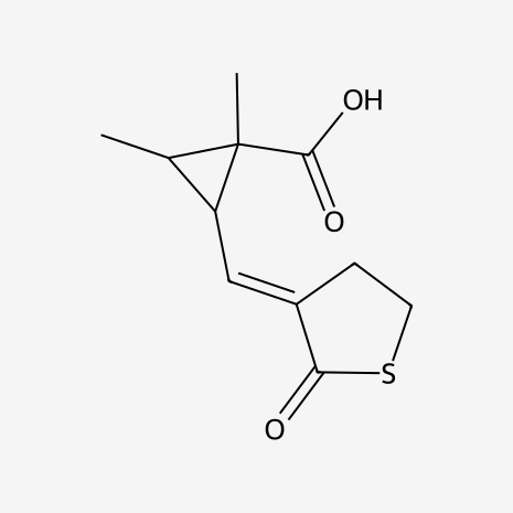 CC1C(C=C2CCSC2=O)C1(C)C(=O)O